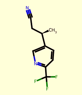 C[C@H](CC#N)c1ccc(C(F)(F)F)nc1